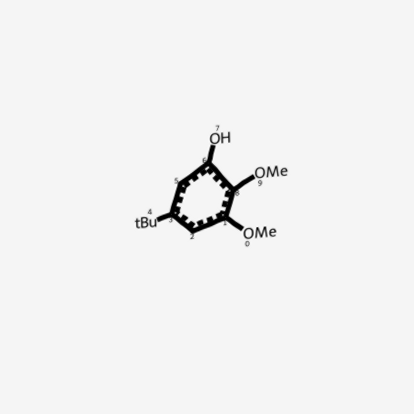 COc1cc(C(C)(C)C)cc(O)c1OC